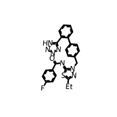 CCc1nn(Cc2ccc(-c3ccccc3-c3nnn[nH]3)cc2)c(=NC(=O)c2ccc(F)cc2)s1